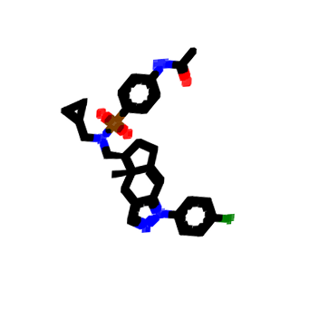 CC(=O)Nc1ccc(S(=O)(=O)N(CC2CC2)C[C@H]2CCC3=Cc4c(cnn4-c4ccc(F)cc4)C[C@@]32C)cc1